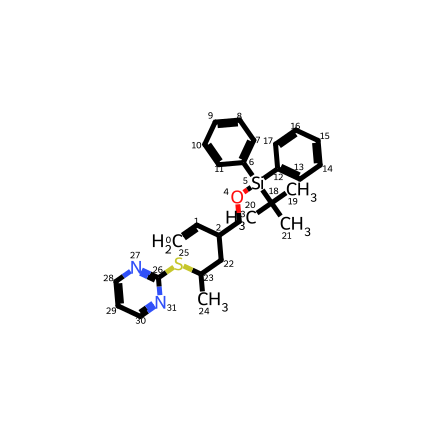 C=CC(CO[Si](c1ccccc1)(c1ccccc1)C(C)(C)C)CC(C)Sc1ncccn1